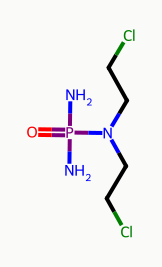 NP(N)(=O)N(CCCl)CCCl